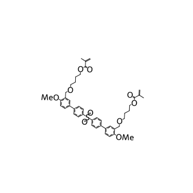 C=C(C)C(=O)OCCCCOCc1cc(-c2ccc(S(=O)(=O)c3ccc(-c4ccc(OC)c(COCCCCOC(=O)C(=C)C)c4)cc3)cc2)ccc1OC